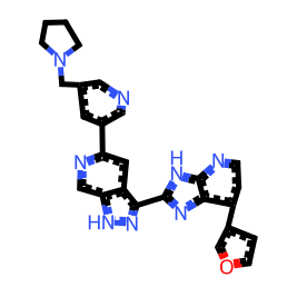 c1cc(-c2ccoc2)c2nc(-c3n[nH]c4cnc(-c5cncc(CN6CCCC6)c5)cc34)[nH]c2n1